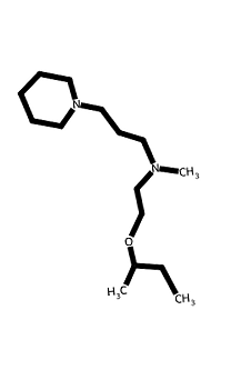 CCC(C)OCCN(C)CCCN1CCCCC1